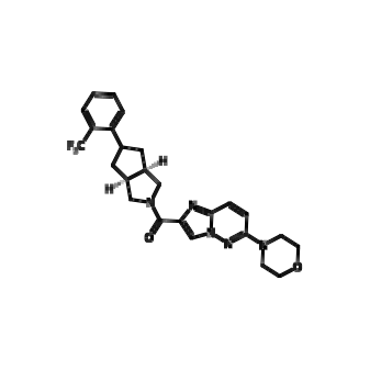 O=C(c1cn2nc(N3CCOCC3)ccc2n1)N1C[C@H]2CC(c3ccccc3C(F)(F)F)C[C@H]2C1